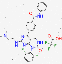 CN(C)CCNc1nc(-c2ccc(C(=O)Nc3ccccc3)cc2)c2c(n1)N(c1c(F)cccc1F)C(=O)NC2.O=C(O)C(F)(F)F